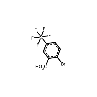 O=C(O)c1cc(S(F)(F)(F)(F)F)ccc1Br